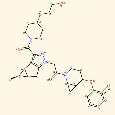 C[C@@H]1C2Cc3c(c(C(=O)N4CCC(OCCO)CC4)nn3CC(=O)N3CCC(Oc4ccccc4Cl)C4CC43)C21